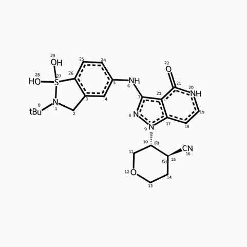 CC(C)(C)N1Cc2cc(Nc3nn([C@H]4COCC[C@@H]4C#N)c4cc[nH]c(=O)c34)ccc2S1(O)O